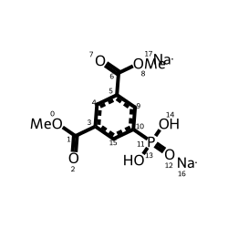 COC(=O)c1cc(C(=O)OC)cc(P(=O)(O)O)c1.[Na].[Na]